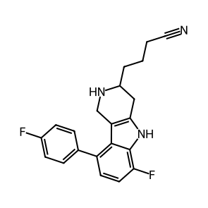 N#CCCCC1Cc2[nH]c3c(F)ccc(-c4ccc(F)cc4)c3c2CN1